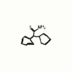 NC(=S)C(c1ccccc1)C1CCCCC1